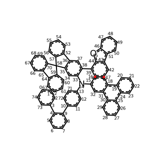 c1ccc(-c2ccccc2-c2ccc(N(c3ccc4c5ccccc5c5ccccc5c4c3)c3cc4c(cc3-c3cccc5c3oc3ccccc35)-c3ccccc3C43c4ccccc4-c4ccccc43)cc2)cc1